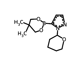 CC1(C)COB(c2ccnn2C2CCCCO2)OC1